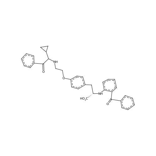 O=C(c1ccccc1)c1ccccc1N[C@@H](Cc1ccc(OCCNC(C(=O)c2ccccc2)C2CC2)cc1)C(=O)O